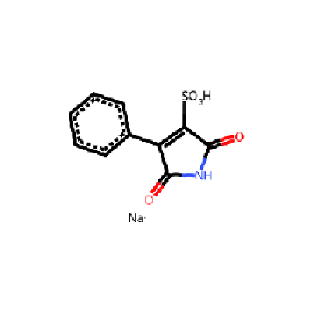 O=C1NC(=O)C(S(=O)(=O)O)=C1c1ccccc1.[Na]